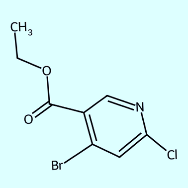 CCOC(=O)c1cnc(Cl)cc1Br